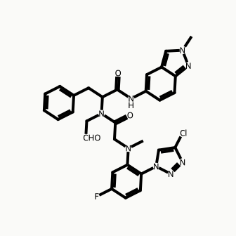 CN(CC(=O)N(CC=O)C(Cc1ccccc1)C(=O)Nc1ccc2nn(C)cc2c1)c1cc(F)ccc1-n1cc(Cl)nn1